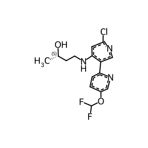 C[C@H](O)CCNc1cc(Cl)ncc1-c1ccc(OC(F)F)cn1